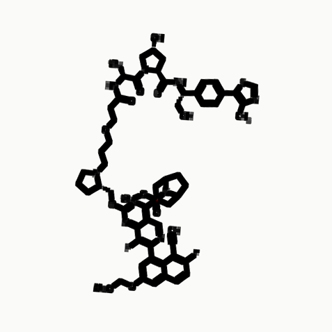 C#Cc1c(F)ccc2cc(OCOC)cc(-c3ncc4c(N5CC6CCC(C5)N6C(=O)OC(C)(C)C)nc(OC[C@@H]5CCCN5CCCOCCC(=O)N[C@H](C(=O)N5C[C@H](O)C[C@H]5C(=O)N[C@@H](CO)c5ccc(-c6scnc6C)cc5)C(C)(C)C)nc4c3F)c12